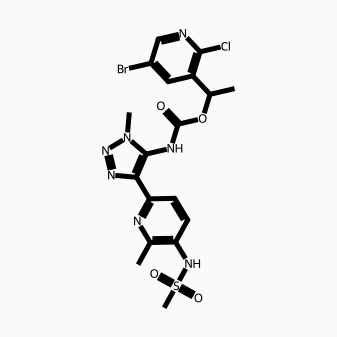 Cc1nc(-c2nnn(C)c2NC(=O)OC(C)c2cc(Br)cnc2Cl)ccc1NS(C)(=O)=O